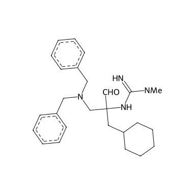 CNC(=N)NC(C=O)(CC1CCCCC1)CN(Cc1ccccc1)Cc1ccccc1